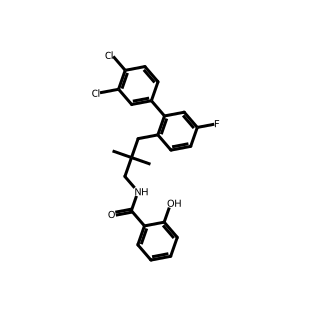 CC(C)(CNC(=O)c1ccccc1O)Cc1ccc(F)cc1-c1ccc(Cl)c(Cl)c1